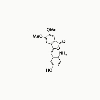 COc1cc2c(cc1OC)C(=Cc1cc(O)ccc1N)OC2=O